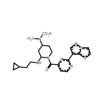 CN(C(=O)O)C1CCN(C(=O)c2ccnc(-c3cnn4ccsc34)n2)C(NCCC2CC2)C1